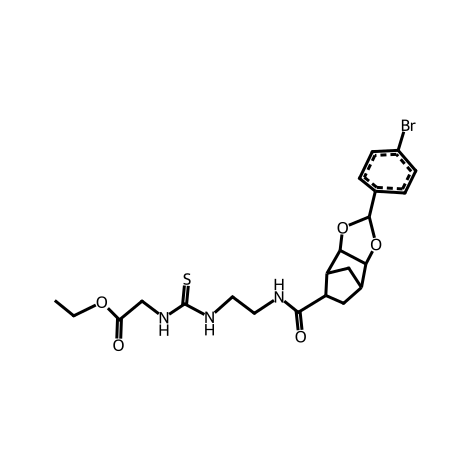 CCOC(=O)CNC(=S)NCCNC(=O)C1CC2CC1C1OC(c3ccc(Br)cc3)OC21